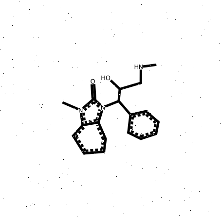 CNCC(O)C(c1ccccc1)n1c(=O)n(C)c2ccccc21